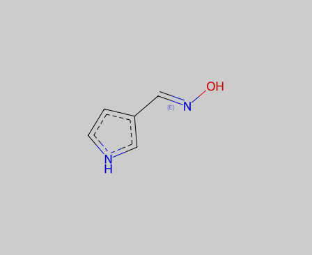 O/N=C/c1cc[nH]c1